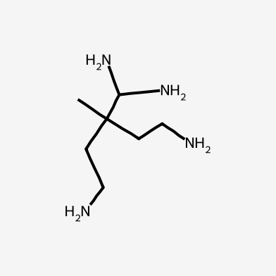 CC(CCN)(CCN)C(N)N